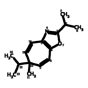 CC(C)c1nc2c(o1)C=CC(C)(C(C)C)C=C2